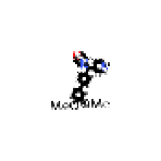 COc1ccc(-c2ccc(C(c3ccncc3)N3CCOCC3)cc2)cc1OC